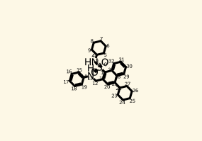 O=S(=O)(NC1CCCCC1)c1c(CNc2ccccc2)cc(C2CCCCC2)c2ccccc12